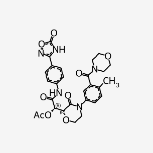 CC(=O)O[C@@H](C(=O)Nc1ccc(-c2noc(=O)[nH]2)cc1)[C@H]1OCCN(c2ccc(C)c(C(=O)N3CCOCC3)c2)C1=O